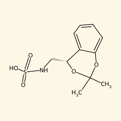 CC1(C)Oc2ccccc2[C@@H](CNS(=O)(=O)O)O1